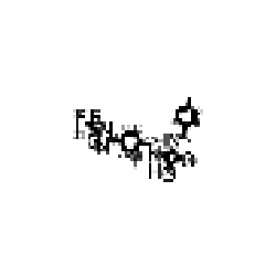 Cc1ccc(CNc2c(NCc3ccc(-c4noc(C(F)(F)F)n4)cc3F)c(=O)c2=O)cc1